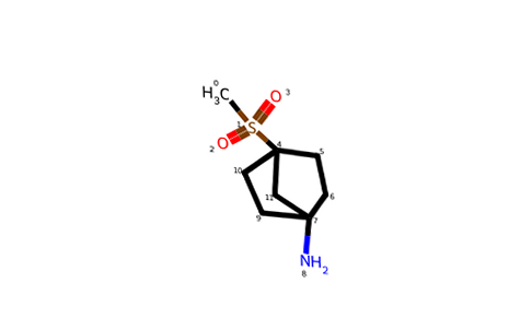 CS(=O)(=O)C12CCC(N)(CC1)C2